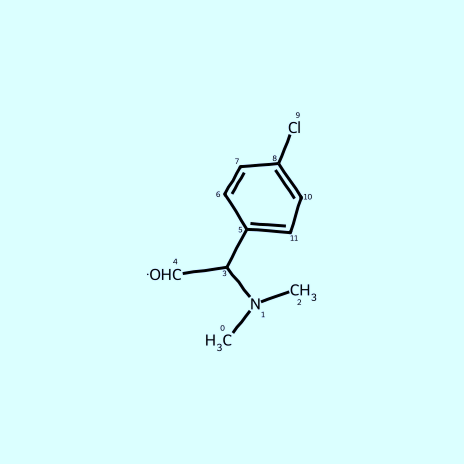 CN(C)C([C]=O)c1ccc(Cl)cc1